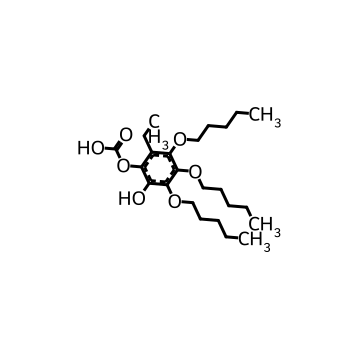 CCCCCOc1c(O)c(OC(=O)O)c(CC)c(OCCCCC)c1OCCCCC